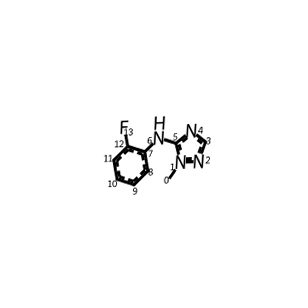 Cn1ncnc1Nc1ccccc1F